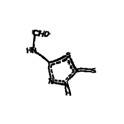 O=[C]Nc1n[nH]c(=S)s1